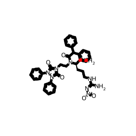 NC(=O)[C@@H](CCCNC(N)=N[N+](=O)[O-])N(CCn1c(=O)n(-c2ccccc2)n(-c2ccccc2)c1=O)C(=O)C(c1ccccc1)c1ccccc1